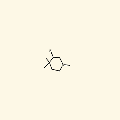 CN1CCC(C)(C)[C@@H](F)C1